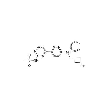 CS(=O)(=O)Nc1nccc(-c2ccc(NCC3(c4ccccn4)CC(F)C3)nn2)n1